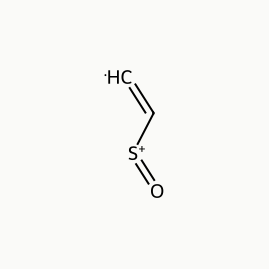 [CH]=C[S+]=O